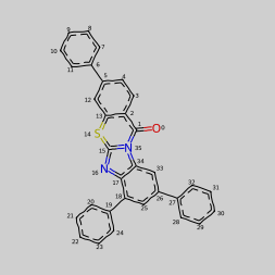 O=c1c2ccc(-c3ccccc3)cc2sc2nc3c(-c4ccccc4)cc(-c4ccccc4)cc3n12